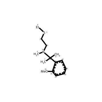 CCSCCN(C)C(C)(C)c1ccccc1OC